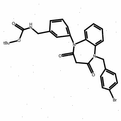 CC(C)(C)OC(=O)NCc1cccc(N2C(=O)CC(=O)N(Cc3ccc(Br)cc3)c3ccccc32)c1